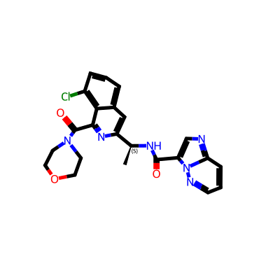 C[C@H](NC(=O)c1cnc2cccnn12)c1cc2cccc(Cl)c2c(C(=O)N2CCOCC2)n1